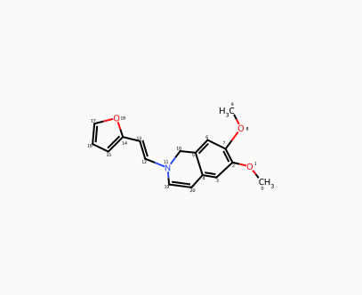 COc1cc2c(cc1OC)CN(C=Cc1ccco1)C=C2